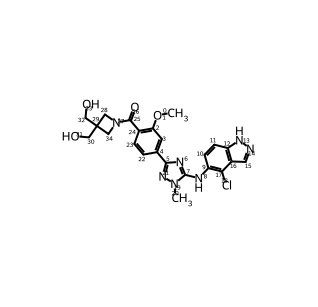 COc1cc(-c2nc(Nc3ccc4[nH]ncc4c3Cl)n(C)n2)ccc1C(=O)N1CC(CO)(CO)C1